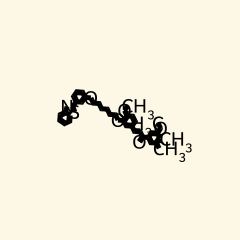 COc1ccc(/C=C/C(=O)c2cc(C)c(C)c(OC)c2)cc1OCCCCCCOc1cccc(-c2nc3ccccc3s2)c1